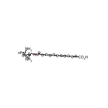 CCCN(CCCN)C(=O)C1=Cc2sc(CCCCCNC(=O)CCOCCOCCOCCOCCOCCOCCOCCOCCOCCOCCC(=O)O)cc2N=C(N)C1